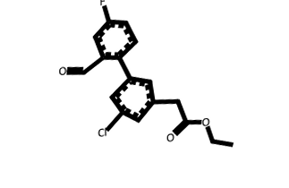 CCOC(=O)Cc1cc(Cl)cc(-c2ccc(F)cc2C=O)c1